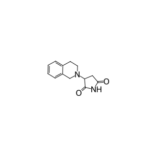 O=C1CC(N2CCc3ccccc3C2)C(=O)N1